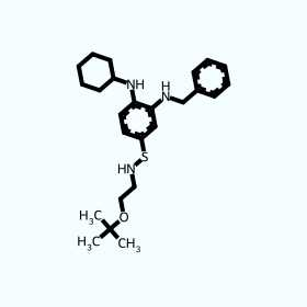 CC(C)(C)OCCNSc1ccc(NC2CCCCC2)c(NCc2ccccc2)c1